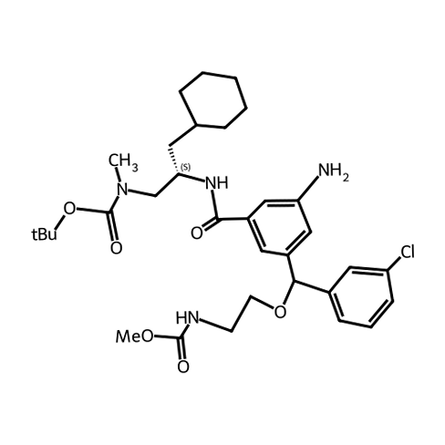 COC(=O)NCCOC(c1cccc(Cl)c1)c1cc(N)cc(C(=O)N[C@@H](CC2CCCCC2)CN(C)C(=O)OC(C)(C)C)c1